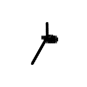 CC#CC#CC#CC#CC#CC#CC#CC#CC#CC#CC#CC#CC(=O)N[C@@H](CN[C@H]1C[C@H](O)[C@@H](O)[C@H](O)[C@H]1O)[C@H](O)[C@H](O)CCCCCCCCCCCCCC